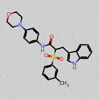 Cc1cccc(S(=O)(=O)C(Cc2c[nH]c3ccccc23)C(=O)Nc2ccc(N3CCOCC3)cc2)c1